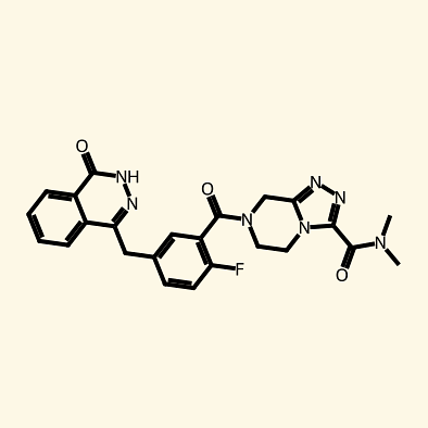 CN(C)C(=O)c1nnc2n1CCN(C(=O)c1cc(Cc3n[nH]c(=O)c4ccccc34)ccc1F)C2